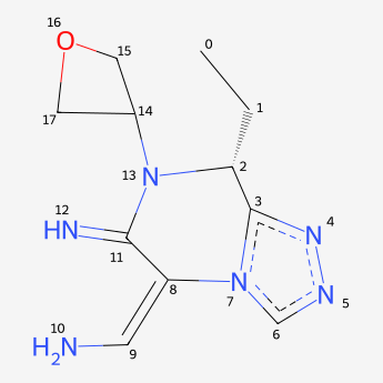 CC[C@@H]1c2nncn2/C(=C/N)C(=N)N1C1COC1